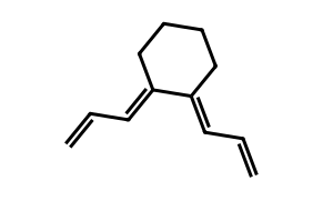 C=CC=C1CCCCC1=CC=C